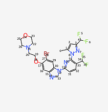 Cc1cc(C(F)F)nn1-c1nc(-n2cnc3cc(OCCN4CCOCC4)c(Br)cc32)ccc1C(F)F